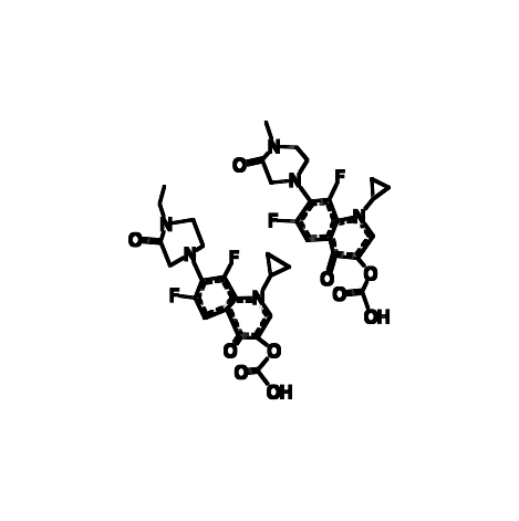 CCN1CCN(c2c(F)cc3c(=O)c(OC(=O)O)cn(C4CC4)c3c2F)CC1=O.CN1CCN(c2c(F)cc3c(=O)c(OC(=O)O)cn(C4CC4)c3c2F)CC1=O